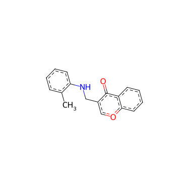 Cc1ccccc1NCc1coc2ccccc2c1=O